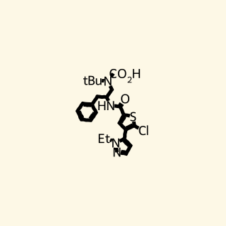 CCn1nccc1-c1cc(C(=O)NC(Cc2ccccc2)CN(C(=O)O)C(C)(C)C)sc1Cl